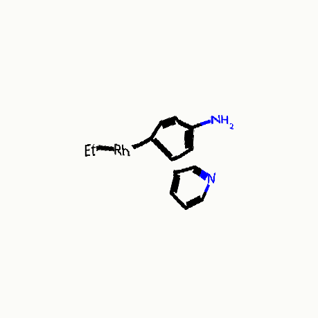 C[CH2][Rh].Cc1ccc(N)cc1.c1ccncc1